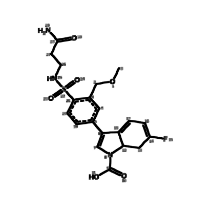 COCc1cc(C2=CN(C(=O)O)C3CC(F)=CC=C23)ccc1S(=O)(=O)NCCC(N)=O